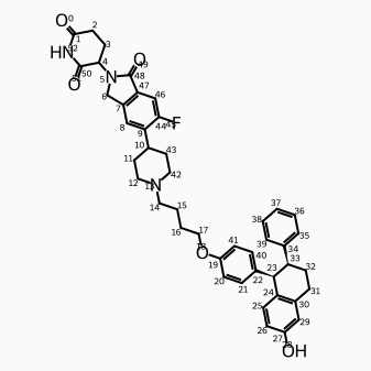 O=C1CCC(N2Cc3cc(C4CCN(CCCCOc5ccc([C@@H]6c7ccc(O)cc7CC[C@@H]6c6ccccc6)cc5)CC4)c(F)cc3C2=O)C(=O)N1